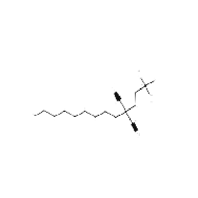 CCCCCCCCCC(C#N)(C#N)CCC(F)(F)F